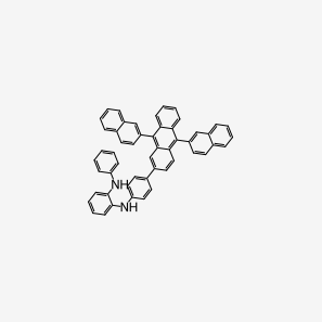 c1ccc(Nc2ccccc2Nc2ccc(-c3ccc4c(-c5ccc6ccccc6c5)c5ccccc5c(-c5ccc6ccccc6c5)c4c3)cc2)cc1